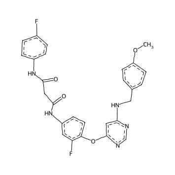 COc1ccc(CNc2cc(Oc3ccc(NC(=O)CC(=O)Nc4ccc(F)cc4)cc3F)ncn2)cc1